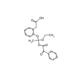 CCOC(C)(OC(=O)C(=O)c1ccccc1)Oc1ccccc1CC(=O)O